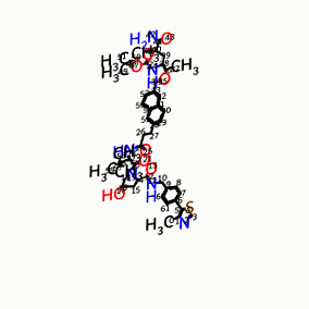 Cc1ncsc1-c1ccc(CNC(=O)[C@H]2C[C@H](O)CN2C(=O)[C@H](NC(=O)CCc2ccc3cc(CO[C@H](C)[C@H](CCC(N)=O)NC(=O)OC(C)(C)C)ccc3c2)C(C)(C)C)cc1